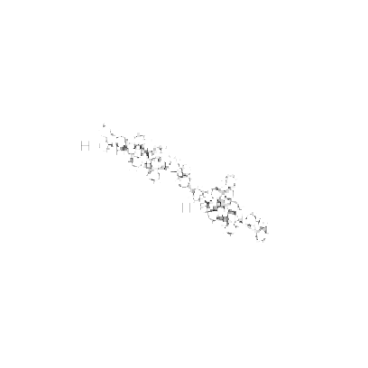 CC1(C)c2ccccc2-c2cc3c(cc21)oc1c(N2c4ccccc4B4c5ccccc5N(c5ccc6oc7cc(-c8ccc9c(c8)-c8cc%10c(oc%11ccccc%11%10)c(N%10c%11ccccc%11B%11c%12ccccc%12N(c%12ccc%13oc%14ccccc%14c%13c%12)c%12cccc%10c%12%11)c8C9(C)C)ccc7c6c5)c5cccc2c54)cccc13